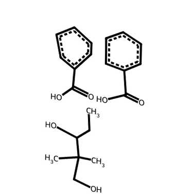 CCC(O)C(C)(C)CO.O=C(O)c1ccccc1.O=C(O)c1ccccc1